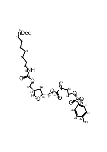 CCCCCCCCCCCCCCCCCNC(=O)OC[C@@H]1CO[C@@H](COC(=O)N(C)CCOS(=O)(=O)c2ccc(C)cc2)C1